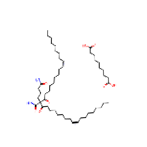 CCCCCCCC/C=C\CCCCCCCC(=O)C(CCCC(N)=O)(C(N)=O)C(=O)CCCCCCC/C=C\CCCCCCCC.O=C(O)CCCCCCCCC(=O)O